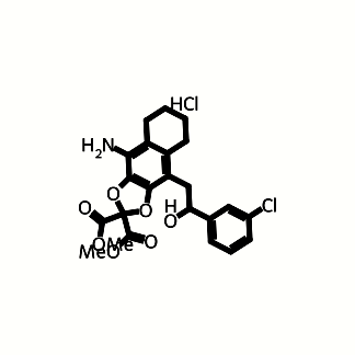 COC(=O)C1(C(=O)OC)Oc2c(N)c3c(c(CC(O)c4cccc(Cl)c4)c2O1)CCCC3.Cl